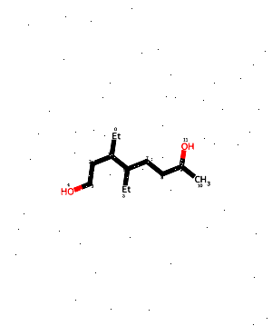 CCC(CCO)C(CC)CCC(C)O